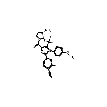 COc1ccc(-n2c(-c3ccc(C#N)c(F)c3)nc(C(=O)N3CC[C@H](N)C3)c2C(F)(F)F)cn1